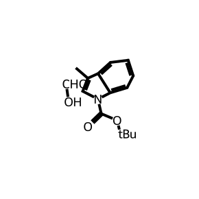 Cc1cn(C(=O)OC(C)(C)C)c2ccccc12.O=CO